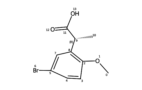 COc1ccc(Br)cc1[C@@H](C)C(=O)O